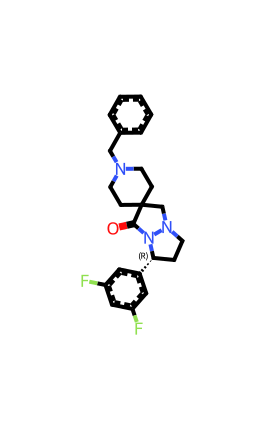 O=C1N2[C@@H](c3cc(F)cc(F)c3)CCN2CC12CCN(Cc1ccccc1)CC2